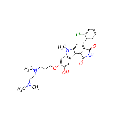 CN(C)CCN(C)CCCOc1cc2c(cc1O)c1c3c(c(-c4ccccc4Cl)cc1n2C)C(=O)NC3=O